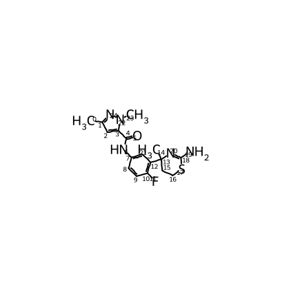 Cc1cc(C(=O)Nc2ccc(F)c(C3(C)CCSC(N)=N3)c2)n(C)n1